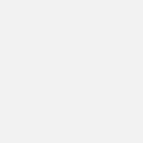 Cc1ccc2cccc(OCc3c(Cl)ccc(OCCNC(=O)CCc4ccccc4)c3Cl)c2n1